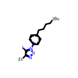 CCc1nnn(-c2ccc(CCCCC(C)(C)C)cc2)c1I